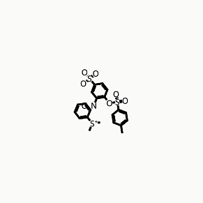 C[S+](C)c1ccccc1.Cc1ccc(S(=O)(=O)Oc2ccc(S(=O)(=O)[O-])cc2[N+](=O)[O-])cc1